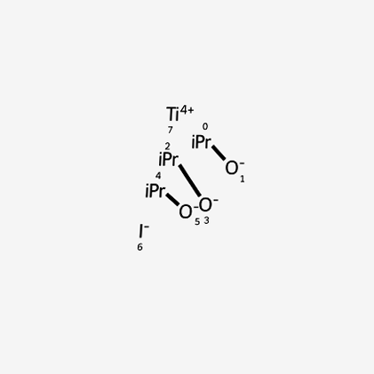 CC(C)[O-].CC(C)[O-].CC(C)[O-].[I-].[Ti+4]